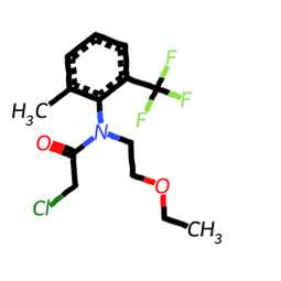 CCOCCN(C(=O)CCl)c1c(C)cccc1C(F)(F)F